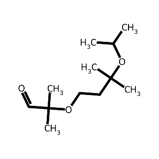 CC(C)OC(C)(C)CCOC(C)(C)C=O